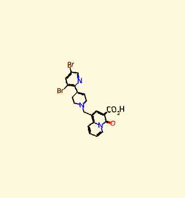 O=C(O)c1cc(CN2CC=C(c3ncc(Br)cc3Br)CC2)c2ccccn2c1=O